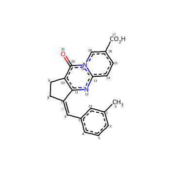 Cc1cccc(/C=C2/CCc3c2nc2ccc(C(=O)O)cn2c3=O)c1